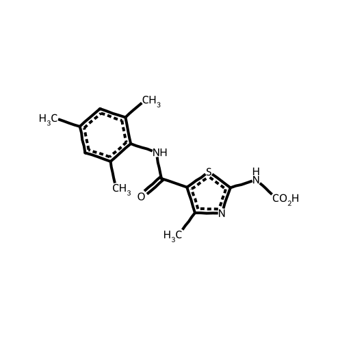 Cc1cc(C)c(NC(=O)c2sc(NC(=O)O)nc2C)c(C)c1